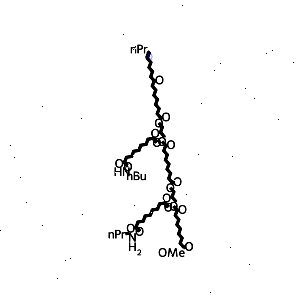 CCC/C=C/CCCCC(=O)CCCCCCCC(=O)OCC(COC(=O)CCCCCCCC(=O)OCC(COC(=O)CCCCCCCC(=O)OC)OC(=O)CCCCCCCC(=O)OC(N)CCC)OC(=O)CCCCCCCC(=O)ONCCCC